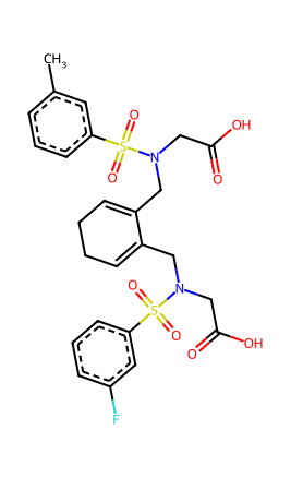 Cc1cccc(S(=O)(=O)N(CC(=O)O)CC2=CCCC=C2CN(CC(=O)O)S(=O)(=O)c2cccc(F)c2)c1